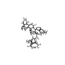 O=C(N[C@@H](CO)Cc1c[nH]c2ccccc12)c1ccc(-c2ccccc2F)c(F)c1F